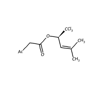 CC(=O)CC(=O)O[C@H](C=C(C)C)C(Cl)(Cl)Cl